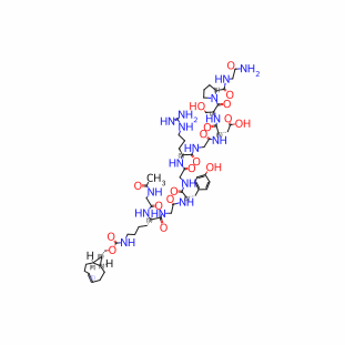 CC(=O)NCC(=O)N[C@@H](CCCCNC(=O)OC[C@H]1[C@@H]2CC/C=C/CC[C@@H]21)C(=O)NCC(=O)N[C@@H](Cc1ccc(O)cc1)C(=O)NCC(=O)N[C@@H](CCCNC(=N)N)C(=O)NCC(=O)N[C@@H](CC(=O)O)C(=O)N[C@@H](CO)C(=O)N1CCC[C@H]1C(=O)NCC(N)=O